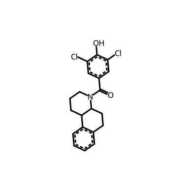 O=C(c1cc(Cl)c(O)c(Cl)c1)N1CCCC2c3ccccc3CCC21